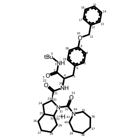 CC(C)(C)NC(=O)C(Cc1ccc(OCc2ccccc2)cc1)NC(=O)[C@@H]1CC2CCCC[C@@H]2N1C(=O)N1CCCCCC1